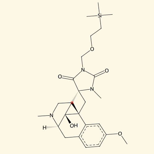 COc1ccc2c(c1)[C@]13CCN(C)[C@H](C2)[C@]1(O)CC[C@]1(C3)C(=O)N(COCC[Si](C)(C)C)C(=O)N1C